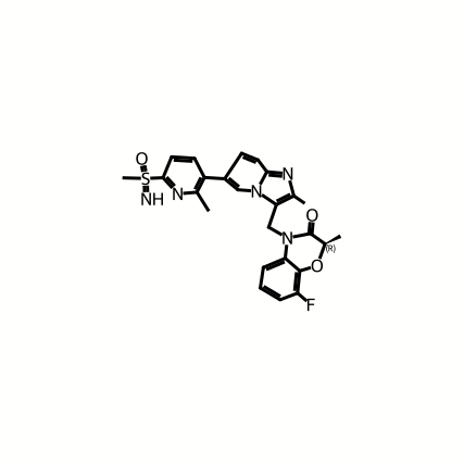 Cc1nc(S(C)(=N)=O)ccc1-c1ccc2nc(C)c(CN3C(=O)[C@@H](C)Oc4c(F)cccc43)n2c1